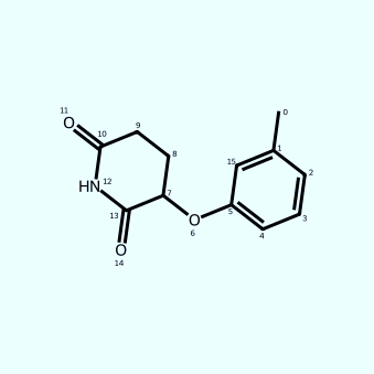 Cc1cccc(OC2CCC(=O)NC2=O)c1